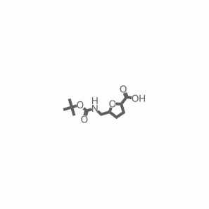 CC(C)(C)OC(=O)NCC1CCC(C(=O)O)O1